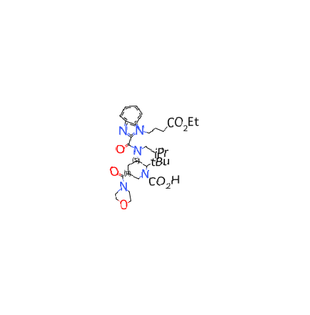 CCOC(=O)CCCn1c(C(=O)N(CC(C)C)[C@H]2C[C@@H](C(=O)N3CCOCC3)CN(C(=O)O)C2C(C)(C)C)nc2ccccc21